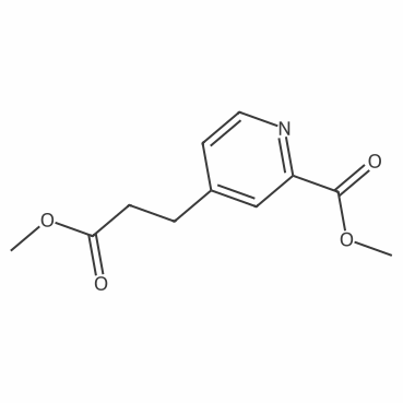 COC(=O)CCc1ccnc(C(=O)OC)c1